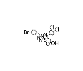 O=C(O)CC1Sc2nnc(Cc3ccc(Br)cc3)n2N=C1c1ccc(Cl)c(Cl)c1